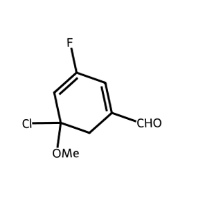 COC1(Cl)C=C(F)C=C(C=O)C1